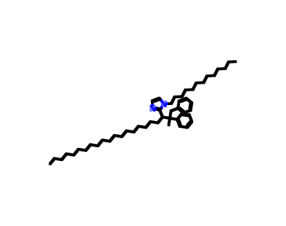 CCCCCCCCCCCCCCCCCCCC(c1nccn1CCCCCCCCCCCCC)C(C)(Cc1ccccc1)c1ccccc1